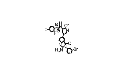 COc1ncc(-c2ccc3nc(N)n(-c4cccc(Br)c4)c(=O)c3c2)cc1NS(=O)(=O)c1ccc(F)cc1F